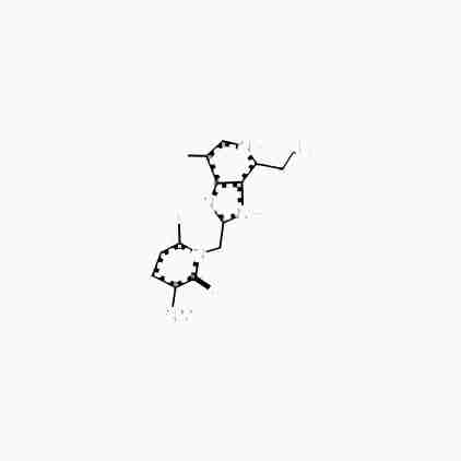 CNc1ccc(C(C)C)n(Cc2nc3c(F)cnc(CC(C)C)c3[nH]2)c1=O